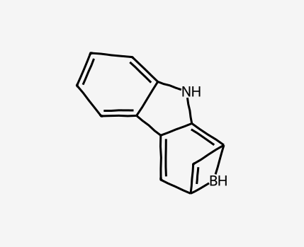 B1c2cc1c1[nH]c3ccccc3c1c2